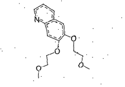 COCCOc1cc2cccnc2cc1OCCOC